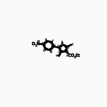 CCOC(=O)c1c(C)sc(-c2ccc([N+](=O)[O-])cc2)c1C